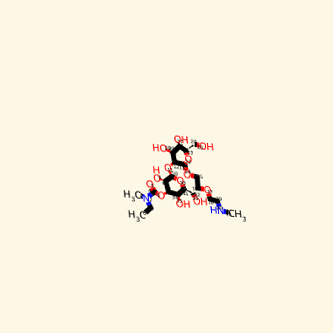 CCN(C)C(=O)O[C@H]1[C@H](O)[C@@H](O[C@@H]2C(OCCOCCNC)O[C@@H](CO)[C@@H](O)[C@@H]2O)O[C@H](CO)[C@H]1O